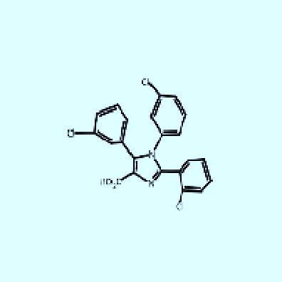 O=C(O)c1nc(-c2ccccc2Cl)n(-c2cccc(Cl)c2)c1-c1cccc(Cl)c1